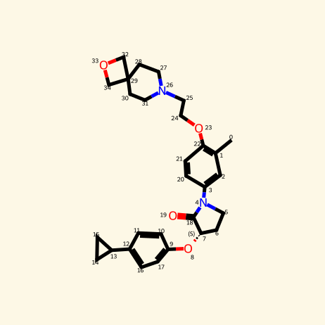 Cc1cc(N2CC[C@H](Oc3ccc(C4CC4)cc3)C2=O)ccc1OCCN1CCC2(CC1)COC2